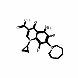 Nc1c(F)c(N2CCCCCC2)c(F)c2c1c(=O)c(C(=O)O)cn2C1CC1